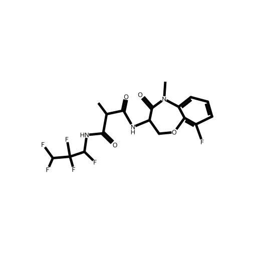 CC(C(=O)NC1COc2c(F)cccc2N(C)C1=O)C(=O)NC(F)C(F)(F)C(F)F